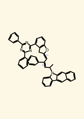 CC(/C=C(\C=C1/Cc2c(cccc2-c2nc(-c3ccccc3)nc(-c3ccccc3)n2)O1)c1ccccc1)n1c2ccccc2c2cc3ccccc3cc21